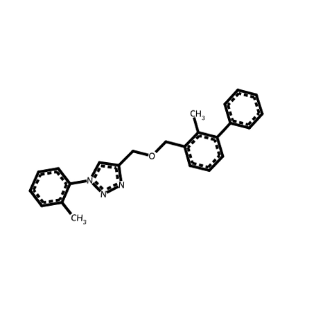 Cc1ccccc1-n1cc(COCc2cccc(-c3ccccc3)c2C)nn1